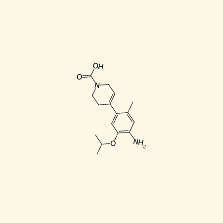 Cc1cc(N)c(OC(C)C)cc1C1=CCN(C(=O)O)CC1